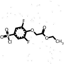 CCOC(=O)COc1c(F)cc(S(=O)(=O)Cl)cc1F